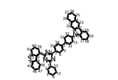 c1ccc(-c2nc(-c3ccc(-c4ccc(-n5c6ccccc6c6cc7ccccc7cc65)cc4)cc3)nc(-c3cccc4sc5ccccc5c34)n2)cc1